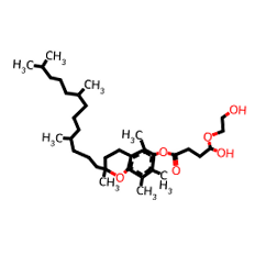 Cc1c(C)c2c(c(C)c1OC(=O)CCC(O)OCCO)CCC(C)(CCCC(C)CCCC(C)CCCC(C)C)O2